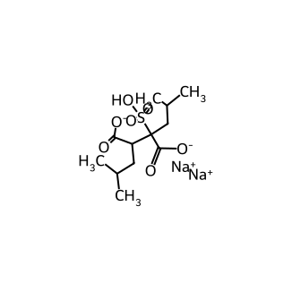 CC(C)CC(C(=O)[O-])C(CC(C)C)(C(=O)[O-])S(=O)(=O)O.[Na+].[Na+]